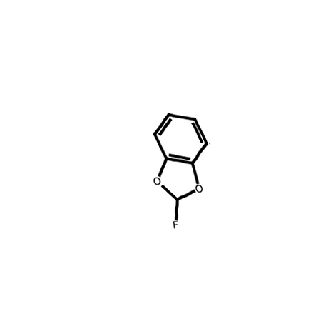 FC1Oc2[c]cccc2O1